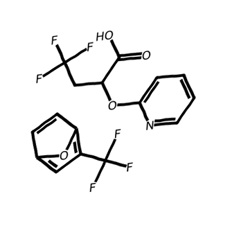 FC(F)(F)c1cc2ccc1o2.O=C(O)C(CC(F)(F)F)Oc1ccccn1